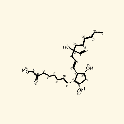 C=CC(O)(C/C=C/[C@@H]1[C@@H](CCCCCCC(=O)CO)[C@@H](O)C[C@H]1O)CCCCCC